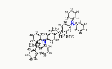 CCCCCC(CC)(c1ccc(N(c2ccccc2)c2ccccc2)cc1)c1ccc(N(c2ccccc2)c2cccc3c2C(CC)(CC)c2ccccc2-3)cc1